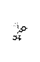 CC(=O)N=[SH](C)(O)CCn1c(CN2C(=O)C3(CC3)c3ccncc32)cc2cc(Cl)ccc21